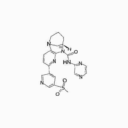 CS(=O)(=O)c1cncc(-c2ccc3c(n2)N(C(=O)Nc2cnccn2)[C@H]2CCCN3C2)c1